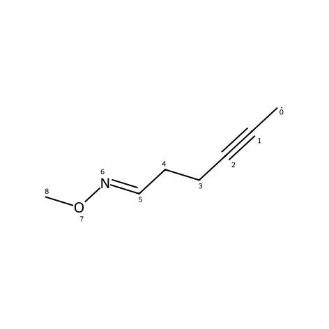 [CH2]C#CCCC=NOC